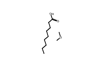 CCCCCCCCC(=O)O.COC